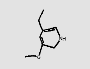 CCC1=CNCC(OC)=C1